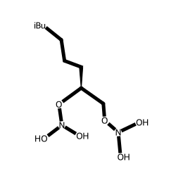 CCC(C)CCC[C@@H](CON(O)O)ON(O)O